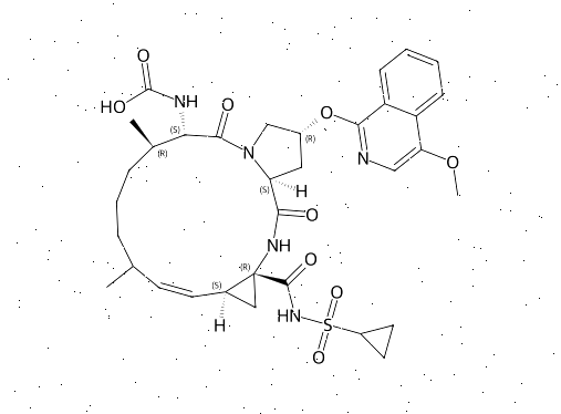 COc1cnc(O[C@@H]2C[C@H]3C(=O)N[C@]4(C(=O)NS(=O)(=O)C5CC5)C[C@H]4C=CC(C)CCC[C@@H](C)[C@H](NC(=O)O)C(=O)N3C2)c2ccccc12